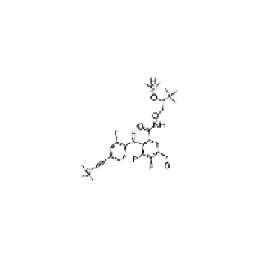 C[SiH](C)OC(CONC(=O)c1cc(C=O)c(F)c(F)c1Nc1ccc(C#C[Si](C)(C)C)cc1F)C(C)(C)C